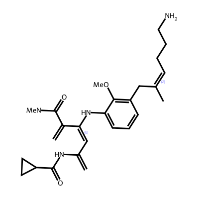 C=C(/C=C(/Nc1cccc(C/C(C)=C\CCCN)c1OC)C(=C)C(=O)NC)NC(=O)C1CC1